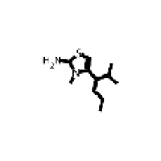 CCCC(C1=CSC(N)N1C)C(C)C